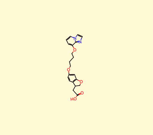 O=C(O)CC1COc2cc(OCCCCOc3cccn4ccnc34)ccc21